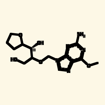 COc1nc(N)nc2c1ncn2COC(CO)[C@@H](O)C1CCCO1